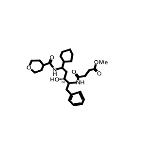 COC(=O)CCC(=O)NC(Cc1ccccc1)[C@@H](O)CC(NC(=O)C1CCOCC1)C1CCCCC1